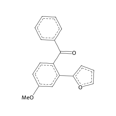 COc1ccc(C(=O)c2ccccc2)c(-c2ccco2)c1